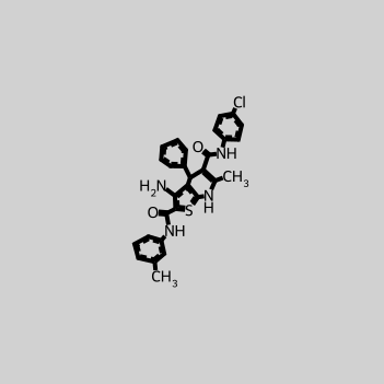 CC1=C(C(=O)Nc2ccc(Cl)cc2)C(c2ccccc2)c2c(sc(C(=O)Nc3cccc(C)c3)c2N)N1